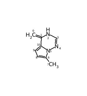 C=C1NC=Nn2c(C)ccc21